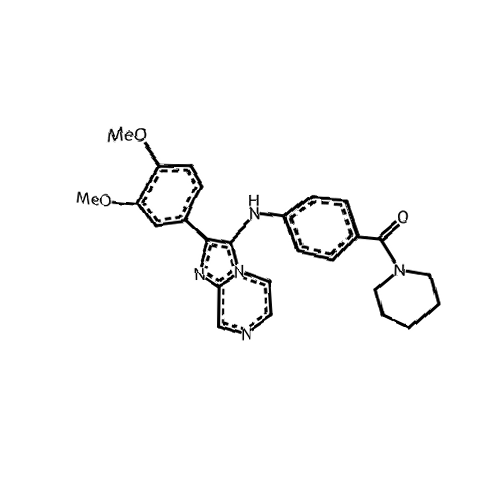 COc1ccc(-c2nc3cnccn3c2Nc2ccc(C(=O)N3CCCCC3)cc2)cc1OC